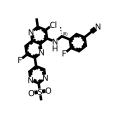 Cc1nc2cc(F)c(-c3cnc(S(C)(=O)=O)nc3)nc2c(N[C@H](C)c2cc(C#N)ccc2F)c1Cl